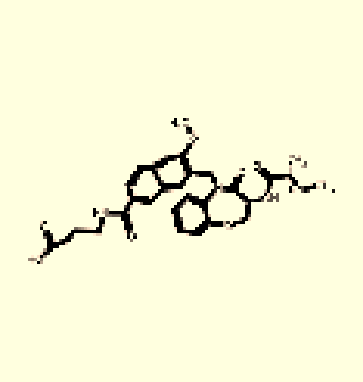 CN[C@@H](C)C(=O)N[C@H]1COc2ccccc2N(Cc2cc3cc(C(=O)NCCCC(=O)O)ccc3cc2OC)C1=O